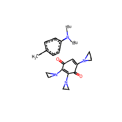 Cc1ccc(N(C(C)(C)C)C(C)(C)C)cc1.O=C1C=C(N2CC2)C(=O)C(N2CC2)=C1N1CC1